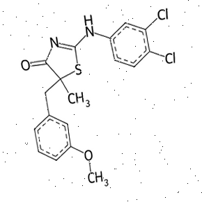 COc1cccc(CC2(C)SC(Nc3ccc(Cl)c(Cl)c3)=NC2=O)c1